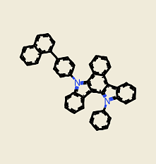 c1ccc(-n2c3ccccc3c3c4ccccc4c4c(c5ccccc5n4-c4ccc(-c5cccc6ccccc56)cc4)c32)cc1